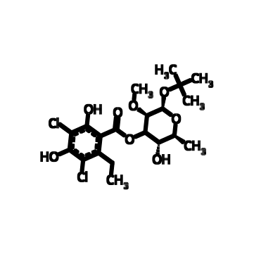 CCc1c(Cl)c(O)c(Cl)c(O)c1C(=O)OC1[C@@H](O)[C@H](C)O[C@H](OC(C)(C)C)[C@@H]1OC